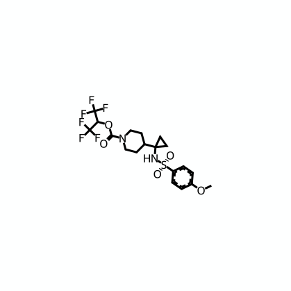 COc1ccc(S(=O)(=O)NC2(C3CCN(C(=O)OC(C(F)(F)F)C(F)(F)F)CC3)CC2)cc1